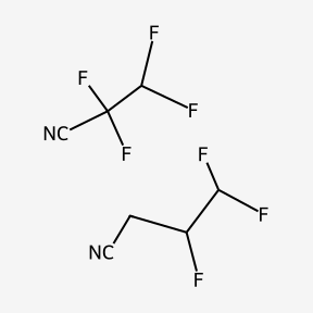 N#CC(F)(F)C(F)F.N#CCC(F)C(F)F